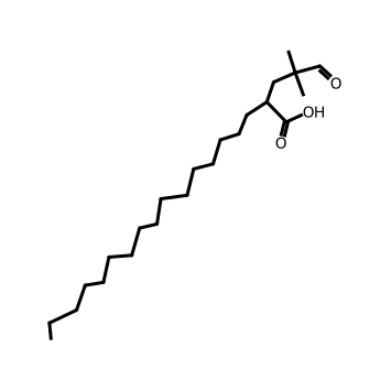 CCCCCCCCCCCCCCCCC(CC(C)(C)C=O)C(=O)O